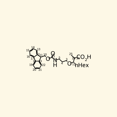 CCCCCC[C@@H](OCCCNC(=O)OCC1c2ccccc2-c2ccccc21)[C@@H](C)C(=O)O